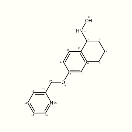 ONC1CCCc2cc(OCc3ccccn3)ccc21